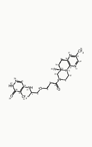 CC(COCCC(=O)N1CCN2c3ncc(C(F)(F)F)nc3CC[C@H]2C1)Nc1cn[nH]c(=O)c1C(F)(F)F